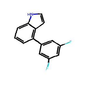 Fc1cc(F)cc(-c2[c]ccc3[nH]ccc23)c1